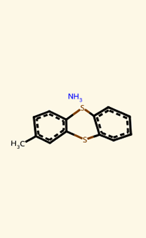 Cc1ccc2c(c1)Sc1ccccc1S2.N